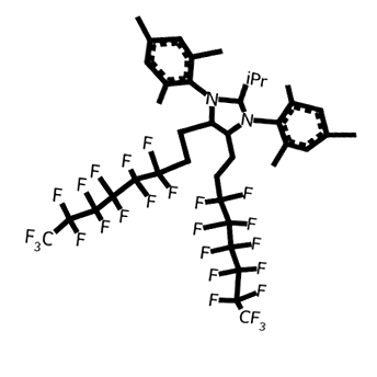 Cc1cc(C)c(N2C(CCC(F)(F)C(F)(F)C(F)(F)C(F)(F)C(F)(F)C(F)(F)F)C(CCC(F)(F)C(F)(F)C(F)(F)C(F)(F)C(F)(F)C(F)(F)F)N(c3c(C)cc(C)cc3C)C2C(C)C)c(C)c1